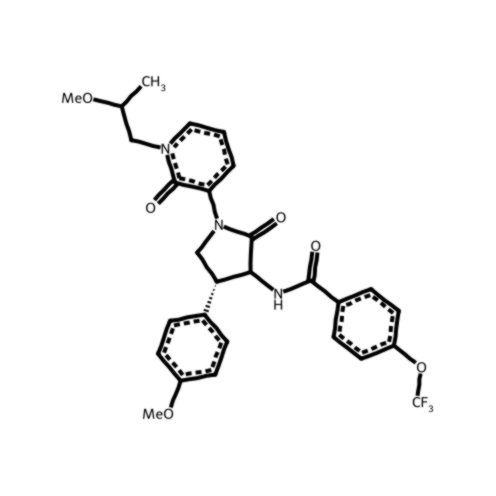 COc1ccc([C@@H]2CN(c3cccn(CC(C)OC)c3=O)C(=O)C2NC(=O)c2ccc(OC(F)(F)F)cc2)cc1